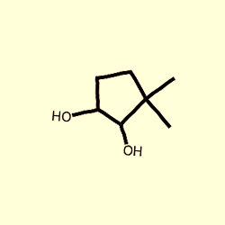 CC1(C)CCC(O)C1O